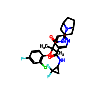 CC(C)(Oc1ccc(F)cc1Cl)C(=O)NC1CC2CCC(C1)N2c1ccc(C(=O)NC2CC2(F)F)cn1